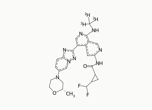 [2H]C([2H])([2H])Nc1ncc(-c2nc3ccc(N4CCO[C@@H](C)C4)cn3n2)c2cc(NC(=O)C3CC3C(F)F)ncc12